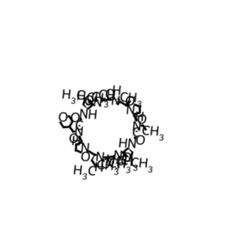 CCN1CC(=O)N[C@@H](CC(C)C)C(=O)N(C)[C@@H](C)C(=O)N[C@@H](CC(C)C)C(=O)N2CCC[C@@H]2C(=O)N(CC2CCOCC2)CC(=O)N[C@@H](CC(C)C)C(=O)N(C)[C@@H](C)C(=O)N[C@@H](C)C(=O)N2CCC[C@@H]2C1=O